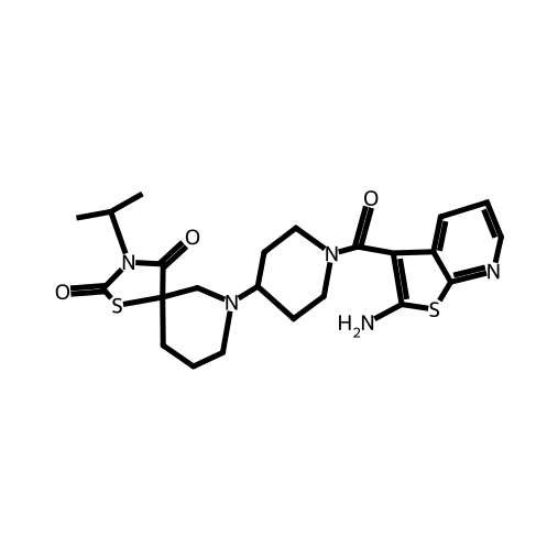 CC(C)N1C(=O)SC2(CCCN(C3CCN(C(=O)c4c(N)sc5ncccc45)CC3)C2)C1=O